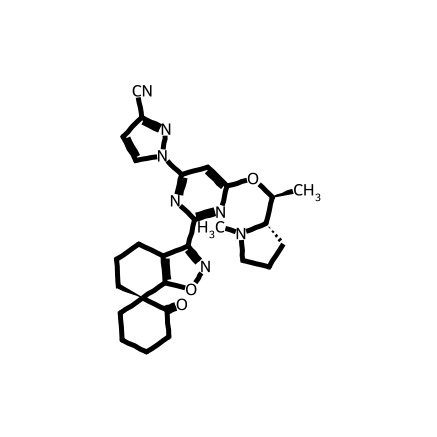 C[C@H](Oc1cc(-n2ccc(C#N)n2)nc(-c2noc3c2CCC[C@@]32CCCCC2=O)n1)[C@@H]1CCCN1C